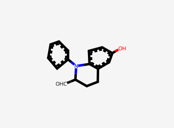 O=CC1CCc2cc(O)ccc2N1c1ccccc1